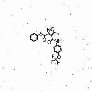 Cc1onc(C(=O)Sc2ccccc2)c1C(=O)Nc1ccc(OC(F)(F)F)cc1